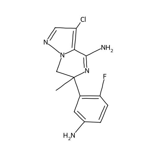 CC1(c2cc(N)ccc2F)Cn2ncc(Cl)c2C(N)=N1